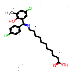 Cc1cc(Cl)cc(C(=NCCCCCCCCCCC(=O)O)c2ccc(Cl)cc2)c1O